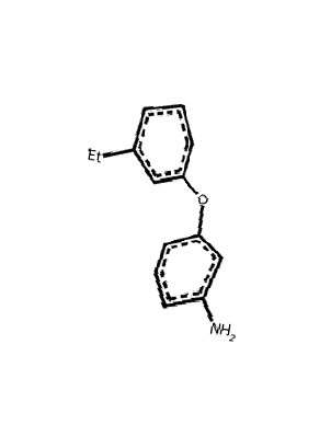 CCc1cccc(Oc2cccc(N)c2)c1